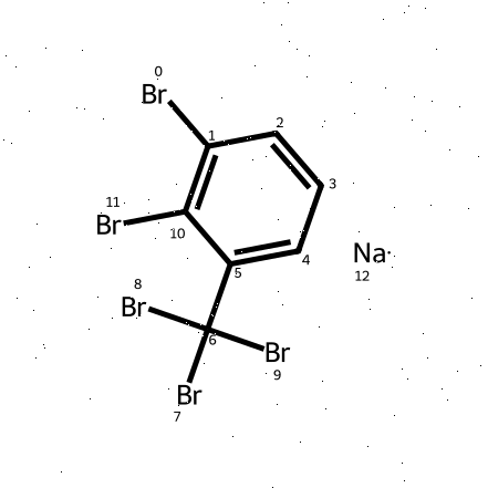 Brc1cccc(C(Br)(Br)Br)c1Br.[Na]